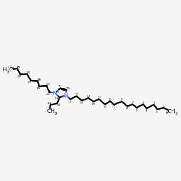 CCCCCCCCCCCCCCCCCCCN1C=CN(CCCCCCCCC)C1CCC